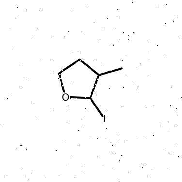 CC1CCOC1I